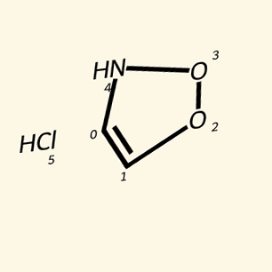 C1=COON1.Cl